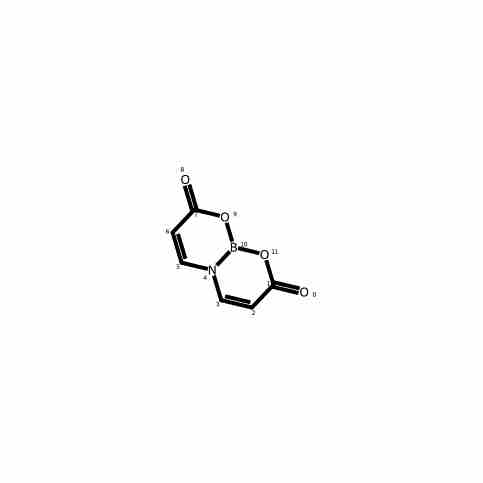 O=C1C=CN2C=CC(=O)OB2O1